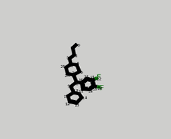 CCCCC1CCC(C(CC2CC=CCC2)c2ccc(F)c(F)c2)CC1